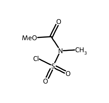 COC(=O)N(C)S(=O)(=O)Cl